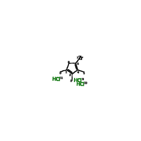 CC1=C(C)C(C)=[C]([Zr])C1.Cl.Cl.Cl